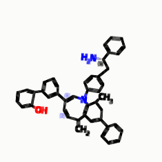 C=C1/C=C\C(c2cccc(-c3ccccc3O)c2)=C/N(c2ccc(C[C@H](N)c3ccccc3)cc2)C2=C1C=C(c1ccccc1)CC2C